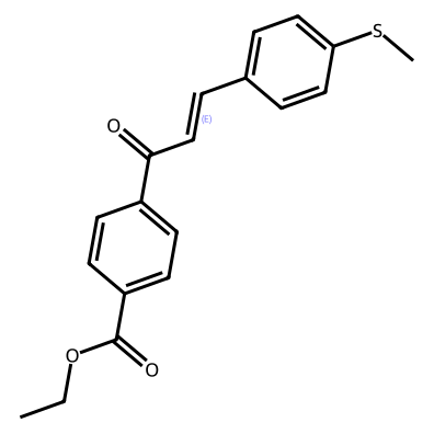 CCOC(=O)c1ccc(C(=O)/C=C/c2ccc(SC)cc2)cc1